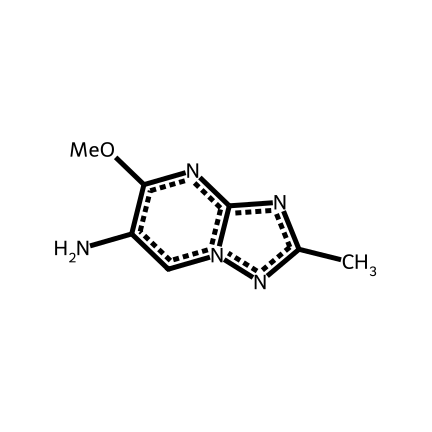 COc1nc2nc(C)nn2cc1N